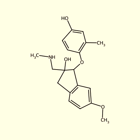 CNCC1(O)Cc2ccc(OC)cc2C1Oc1ccc(O)cc1C